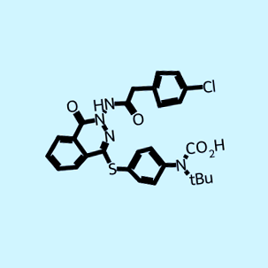 CC(C)(C)N(C(=O)O)c1ccc(Sc2nn(NC(=O)Cc3ccc(Cl)cc3)c(=O)c3ccccc23)cc1